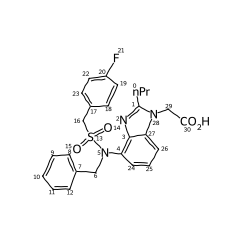 CCCc1nc2c(N(Cc3ccccc3)S(=O)(=O)Cc3ccc(F)cc3)cccc2n1CC(=O)O